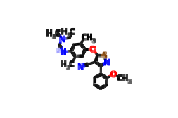 CCN(C)/C=N\c1cc(C)c(Oc2snc(-c3ccccc3OC)c2C#N)cc1C